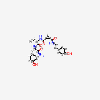 CC(C)C[C@H](NC(=O)C1CC1C(=O)NCCc1ccc(O)cc1)C(=O)N[C@@H](Cc1ccc(O)cc1)C(N)=O